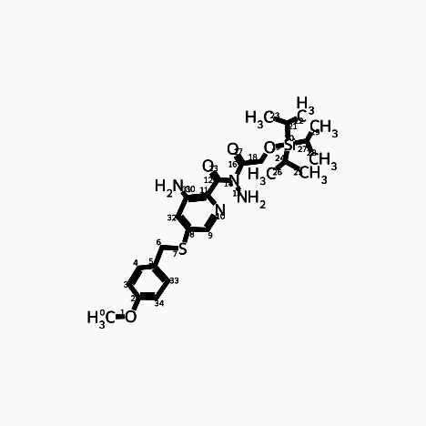 COc1ccc(CSc2cnc(C(=O)N(N)C(=O)CO[Si](C(C)C)(C(C)C)C(C)C)c(N)c2)cc1